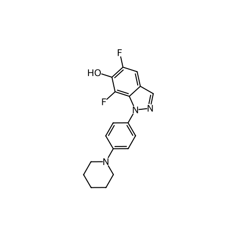 Oc1c(F)cc2cnn(-c3ccc(N4CCCCC4)cc3)c2c1F